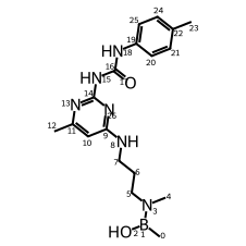 CB(O)N(C)CCCNc1cc(C)nc(NC(=O)Nc2ccc(C)cc2)n1